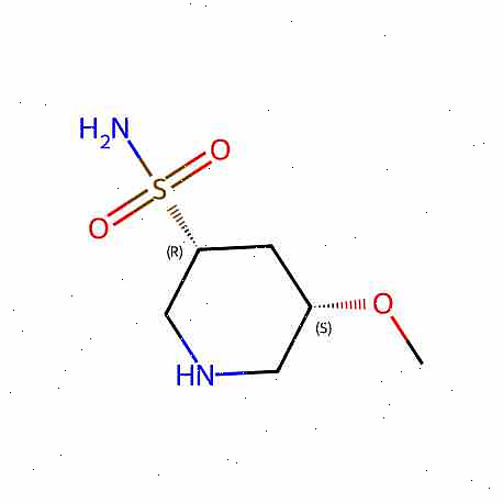 CO[C@@H]1CNC[C@H](S(N)(=O)=O)C1